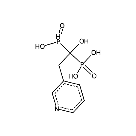 O=[PH](O)C(O)(Cc1cccnc1)P(=O)(O)O